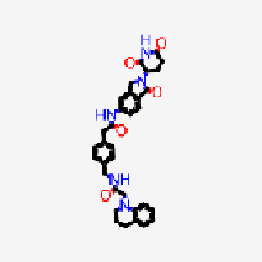 O=C(CN1CCCc2ccccc21)NCc1ccc(CC(=O)Nc2ccc3c(c2)CN(C2CCC(=O)NC2=O)C3=O)cc1